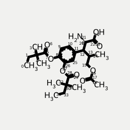 CCC(C)(C)C(=O)Oc1ccc(C(C(C)COC(C)=O)[C@H](N)C(=O)O)cc1OC(=O)C(C)(C)CC